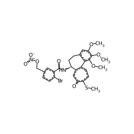 COc1cc2c(c(OC)c1OC)-c1ccc(SC)c(=O)cc1[C@@H](NC(=O)c1cc(CO[N+](=O)[O-])ccc1Br)CC2